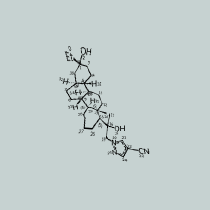 CC[C@@]1(O)CC[C@H]2[C@@H](CC[C@@H]3[C@@H]2CC[C@]2(C)[C@@H](C(C)(O)Cn4cc(C#N)cn4)CCC[C@@H]32)C1